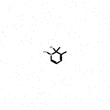 CC1=CC=CN(O)C1(C)C#N